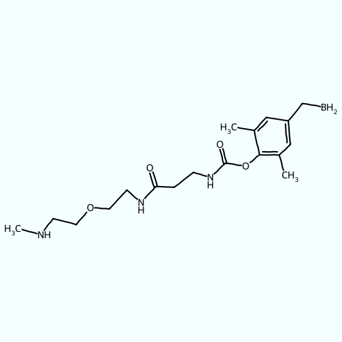 BCc1cc(C)c(OC(=O)NCCC(=O)NCCOCCNC)c(C)c1